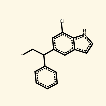 [CH2]CC(c1ccccc1)c1cc(Cl)c2[nH]ccc2c1